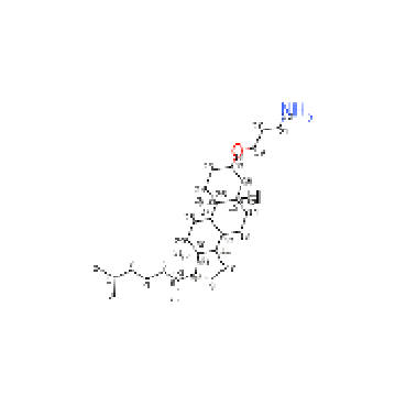 CC(C)CCC[C@@H](C)[C@H]1CCC2C3CC[C@H]4CC(OCCCN)CC[C@]4(C)C3CC[C@@]21C